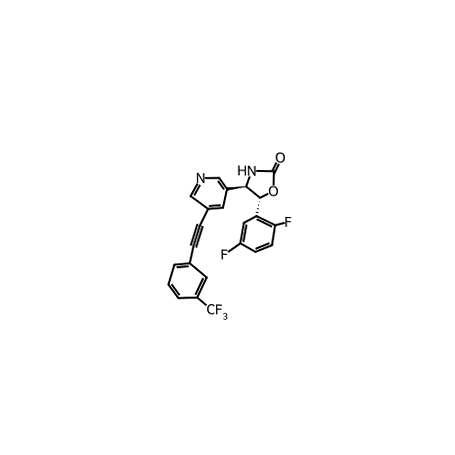 O=C1N[C@H](c2cncc(C#Cc3cccc(C(F)(F)F)c3)c2)[C@@H](c2cc(F)ccc2F)O1